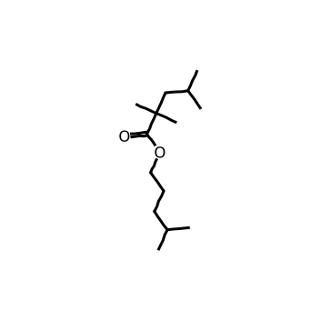 CC(C)CCCOC(=O)C(C)(C)CC(C)C